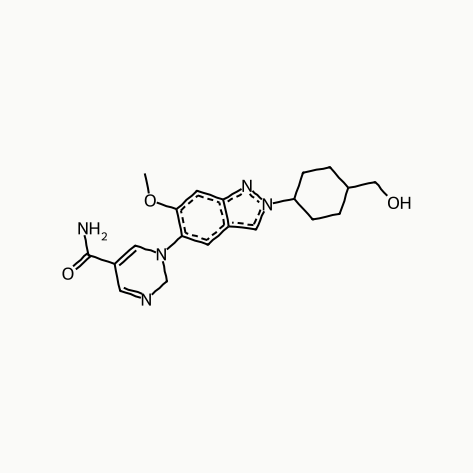 COc1cc2nn(C3CCC(CO)CC3)cc2cc1N1C=C(C(N)=O)C=NC1